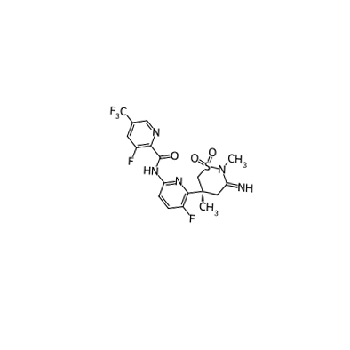 CN1C(=N)C[C@](C)(c2nc(NC(=O)c3ncc(C(F)(F)F)cc3F)ccc2F)CS1(=O)=O